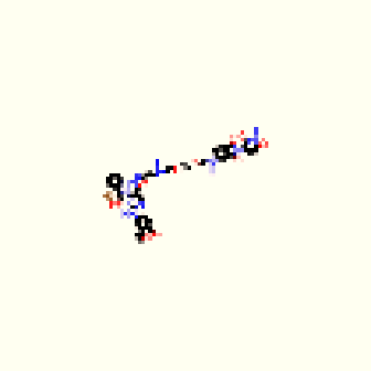 CC1(C)OC(=O)c2ccc(Nc3ncc(-c4nnc(CCNCCOCCOCCNc5ccc6c(c5)C(=O)N(C5CCC(=O)NC5=O)C6=O)o4)c(N[C@@](S)(CO)c4ccccc4)n3)cc21